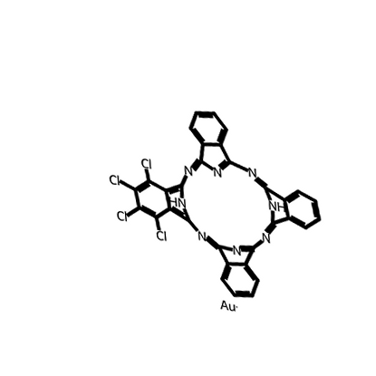 Clc1c(Cl)c(Cl)c2c3nc4nc(nc5[nH]c(nc6nc(nc([nH]3)c2c1Cl)-c1ccccc1-6)c1ccccc51)-c1ccccc1-4.[Au]